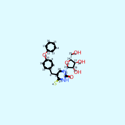 O=c1[nH]c(=S)c(Cc2ccc(Oc3ccccc3)cc2)cn1[C@@H]1O[C@H](CO)[C@@H](O)[C@H]1O